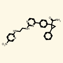 NC(=O)C1(c2ccc(-c3ccnc(NCCNc4ccc([N+](=O)[O-])cn4)n3)cc2)CC1c1ccccc1